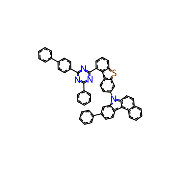 c1ccc(-c2ccc(-c3nc(-c4ccccc4)nc(-c4cccc5sc6cc(-n7c8cc(-c9ccccc9)ccc8c8c9ccccc9ccc87)ccc6c45)n3)cc2)cc1